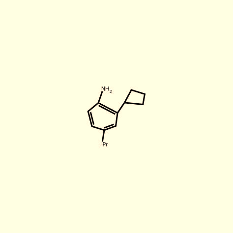 CC(C)c1ccc(N)c(C2CCC2)c1